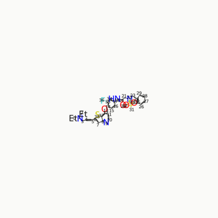 CCN(CC)CC#Cc1cc2nccc(Oc3ccc(NC(=O)CN(Cc4ccccc4)S(C)(=O)=O)cc3F)c2s1